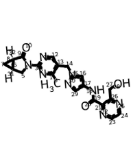 Cc1nc(N2C[C@H]3C[C@H]3C2=O)ncc1Cn1cc(NC(=O)c2nccnc2CO)cn1